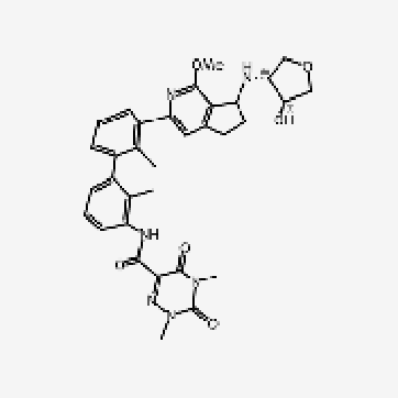 COc1nc(-c2cccc(-c3cccc(NC(=O)c4nn(C)c(=O)n(C)c4=O)c3C)c2C)cc2c1C(N[C@@H]1COC[C@H]1O)CC2